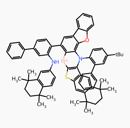 CC(C)(C)c1ccc(N2c3c(sc4cc5c(cc34)C(C)(C)CCC5(C)C)Bc3c(-c4ccc(-c5ccccc5)cc4Nc4ccc5c(c4)C(C)(C)CCC5(C)C)cc4c(oc5ccccc54)c32)c(-c2ccccc2)c1